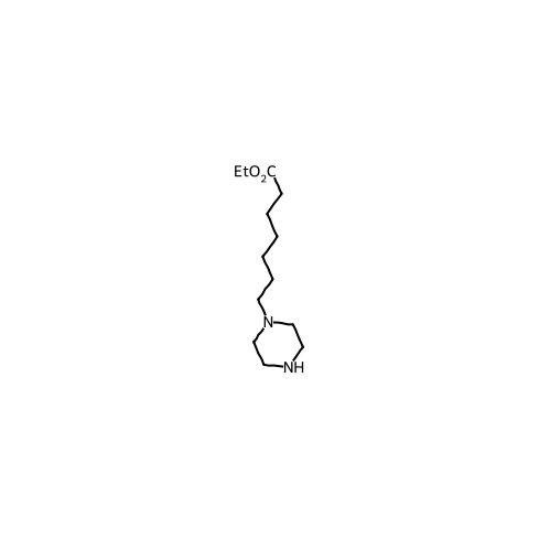 CCOC(=O)CCCCCCN1CCNCC1